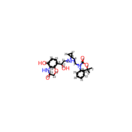 CC1(C)OC(=O)N(CCC2(NCC(O)c3ccc(O)c4c3OCC(=O)N4)CC2)c2ccccc21